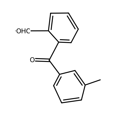 Cc1cccc(C(=O)c2ccccc2[C]=O)c1